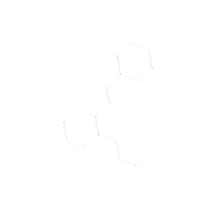 CCC[C]1CCCCC1CCC1CCCCC1